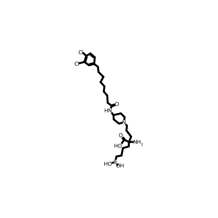 NC(CCCCB(O)O)(CCCN1CCC(NC(=O)CCCCCCCCc2ccc(Cl)c(Cl)c2)CC1)C(=O)O